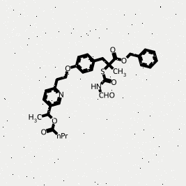 CCCC(=O)OC(C)c1ccc(CCOc2ccc(CC(C)(SC(=O)NC=O)C(=O)OCc3ccccc3)cc2)nc1